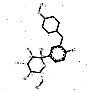 COC1CCC(Cc2cc([C@]3(O)O[C@H](CO)[C@@H](O)[C@H](O)[C@H]3O)ccc2Cl)CC1